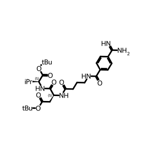 CC(C)[C@H](NC(=O)[C@H](CC(=O)OC(C)(C)C)NC(=O)CCCNC(=O)c1ccc(C(=N)N)cc1)C(=O)OC(C)(C)C